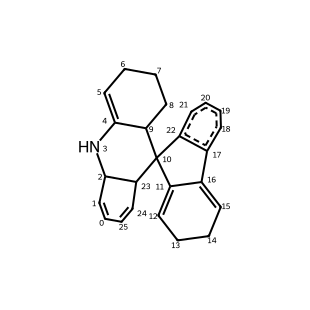 C1=CC2NC3=CCCCC3C3(C4=CCCC=C4c4ccccc43)C2C=C1